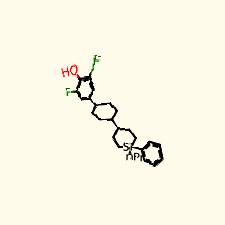 CCC[Si@]1(c2ccccc2)CC[C@H](C2CCC(c3cc(F)c(O)c(F)c3)CC2)CC1